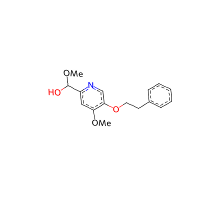 COc1cc(C(O)OC)ncc1OCCc1ccccc1